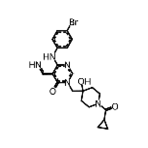 N=Cc1c(Nc2ccc(Br)cc2)ncn(CC2(O)CCN(C(=O)C3CC3)CC2)c1=O